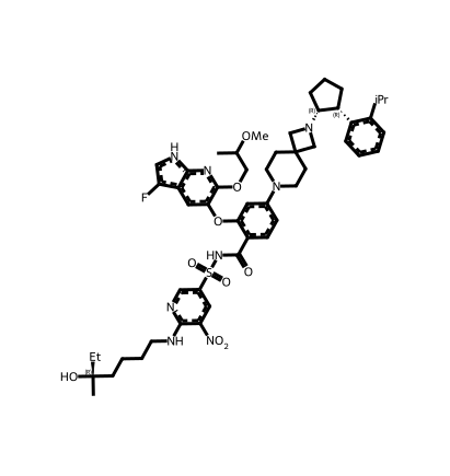 CC[C@@](C)(O)CCCCNc1ncc(S(=O)(=O)NC(=O)c2ccc(N3CCC4(CC3)CN([C@@H]3CCC[C@@H]3c3ccccc3C(C)C)C4)cc2Oc2cc3c(F)c[nH]c3nc2OCC(C)OC)cc1[N+](=O)[O-]